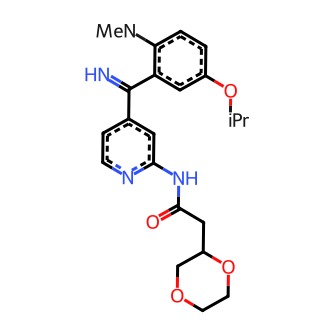 CNc1ccc(OC(C)C)cc1C(=N)c1ccnc(NC(=O)CC2COCCO2)c1